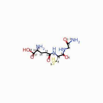 NC(=O)CNC(=O)[C@H](CS)NC(=O)CC[C@H](N)C(=O)O